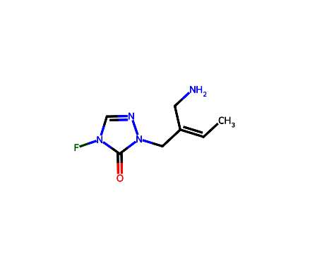 C/C=C(\CN)Cn1ncn(F)c1=O